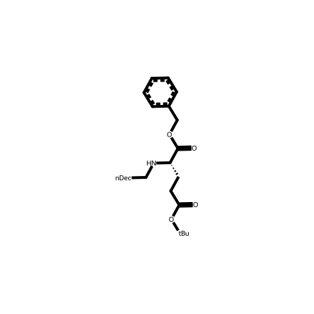 CCCCCCCCCCCN[C@@H](CCC(=O)OC(C)(C)C)C(=O)OCc1ccccc1